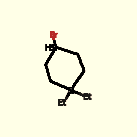 CC[Si]1(CC)CC[SiH](Br)CC1